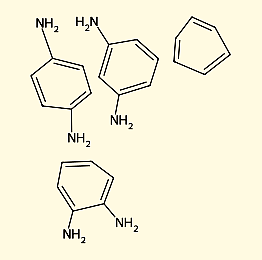 Nc1ccc(N)cc1.Nc1cccc(N)c1.Nc1ccccc1N.c1ccccc1